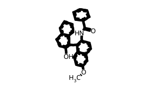 COc1ccc2c(-c3c(O)ccc4ccccc34)c(NC(=O)c3ccccc3)ccc2c1